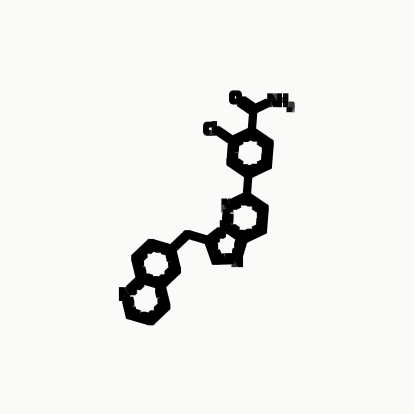 NC(=O)c1ccc(-c2ccc3ncc(Cc4ccc5ncccc5c4)n3n2)cc1Cl